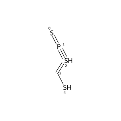 S=P#[SH]=CS